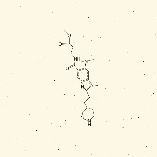 CNc1cc2c(cc1C(=O)NCCC(=O)OC)nc(CCC1CCNCC1)n2C